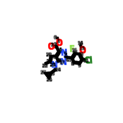 COC(=O)c1nc(-c2ccc(Cl)c(OC)c2F)nc2c1cc(C)n2CC1CC1